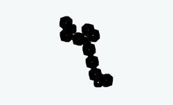 c1ccc2c(N(c3ccc(-c4ccc(-c5ccc6oc7ccccc7c6c5)cc4)cc3)c3ccc(-c4cccc5c4oc4ccccc45)cc3)cccc2c1